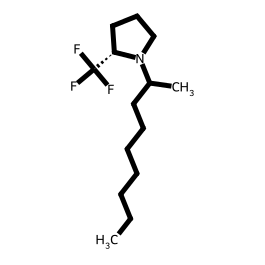 CCCCCCCC(C)N1CCC[C@H]1C(F)(F)F